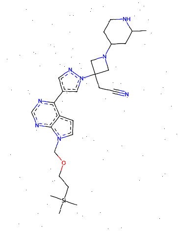 CC1CC(N2CC(CC#N)(n3cc(-c4ncnc5c4ccn5COCC[Si](C)(C)C)cn3)C2)CCN1